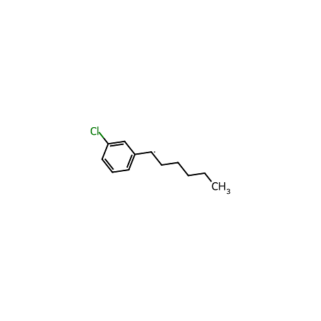 CCCCC[CH]c1cccc(Cl)c1